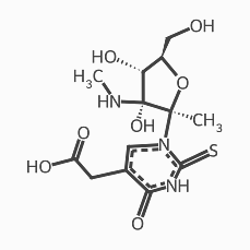 CN[C@@]1(O)[C@H](O)[C@@H](CO)O[C@@]1(C)n1cc(CC(=O)O)c(=O)[nH]c1=S